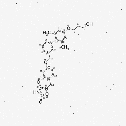 Cc1cc(OCCCO)cc(C)c1-c1cccc(COc2ccc(Cn3oc(=O)[nH]c3=O)cc2)c1